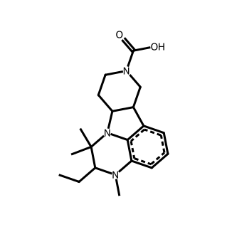 CCC1N(C)c2cccc3c2N(C2CCN(C(=O)O)CC32)C1(C)C